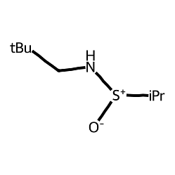 CC(C)[S+]([O-])NCC(C)(C)C